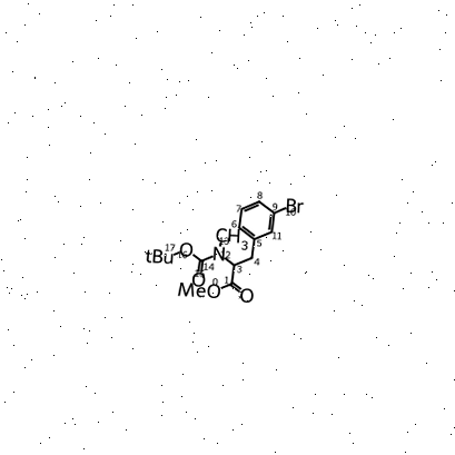 COC(=O)C(Cc1cccc(Br)c1)N(C)C(=O)OC(C)(C)C